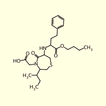 CCCCOC(=O)C(CCc1ccccc1)NC1CSCC(C(C)CC)N(CC(=O)O)C1=O